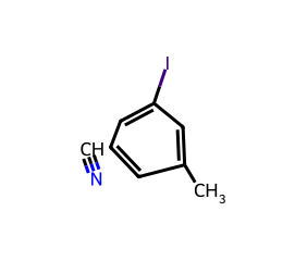 C#N.Cc1cccc(I)c1